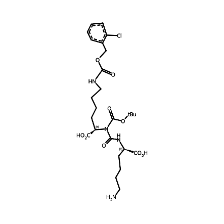 CC(C)(C)OC(=O)N(C(=O)N[C@H](CCCCN)C(=O)O)[C@H](CCCCNC(=O)OCc1ccccc1Cl)C(=O)O